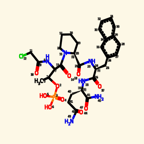 CC(OP(=O)(O)O)C(NC(=O)CCl)C(=O)N1CCCC[C@H]1C(=O)N[C@@H](Cc1ccc2ccccc2c1)C(=O)N[C@@H](CCC(N)=O)C(N)=O